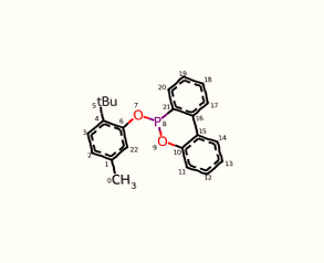 Cc1ccc(C(C)(C)C)c(OP2Oc3ccccc3-c3ccccc32)c1